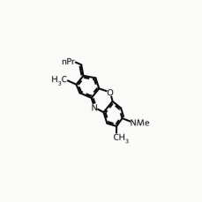 CCC/C=c1/cc2c(cc1C)=Nc1cc(C)c(NC)cc1O2